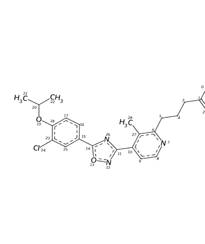 CC(=O)CCCc1nccc(-c2noc(-c3ccc(OC(C)C)c(Cl)c3)n2)c1C